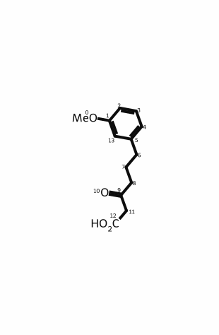 COc1cccc(CCCC(=O)CC(=O)O)c1